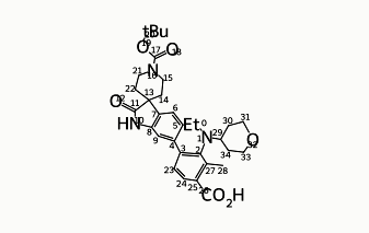 CCN(c1c(-c2ccc3c(c2)NC(=O)C32CCN(C(=O)OC(C)(C)C)CC2)ccc(C(=O)O)c1C)C1CCOCC1